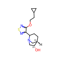 O[C@@H]1CN2C[C@@H]1CCC2c1nsnc1OCCC1CC1